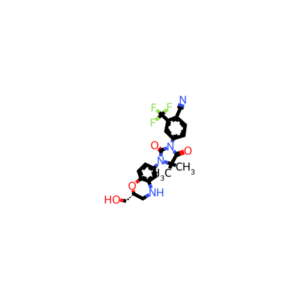 CC1(C)C(=O)N(c2ccc(C#N)c(C(F)(F)F)c2)C(=O)N1c1ccc2c(c1)NC[C@H](CO)O2